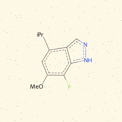 COc1cc(C(C)C)c2cn[nH]c2c1F